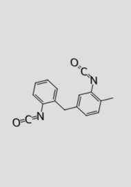 Cc1ccc(Cc2ccccc2N=C=O)cc1N=C=O